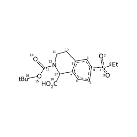 CCS(=O)(=O)c1ccc2c(c1)CCN(C(=O)OC(C)(C)C)C2C(=O)O